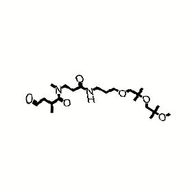 COC(C)(C)COC(C)(C)COCCCNC(=O)CCN(C)C(=O)C(C)CC=O